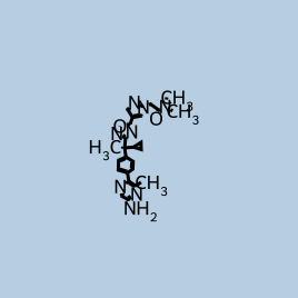 Cc1nc(N)cnc1-c1ccc([C@](C)(c2noc(-c3cnn(CC(=O)N(C)C)c3)n2)C2CC2)cc1